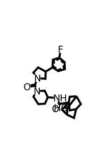 O=C(N1CCCC(NC(=O)C23CC4CC(C2)C(O)C(C4)C3)C1)N1CCC(c2cccc(F)c2)C1